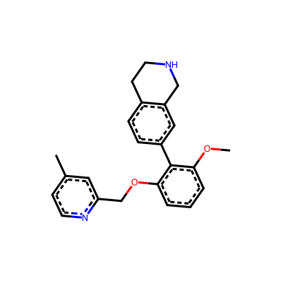 COc1cccc(OCc2cc(C)ccn2)c1-c1ccc2c(c1)CNCC2